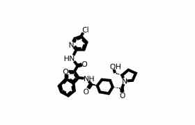 O=C(Nc1ccc(Cl)cn1)c1oc2ccccc2c1NC(=O)[C@H]1CC[C@H](C(=O)N2CCC[C@H]2CO)CC1